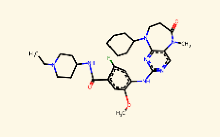 CCN1CCC(NC(=O)c2cc(OC)c(Nc3ncc4c(n3)N(C3CCCCC3)CCC(=O)N4C)cc2F)CC1